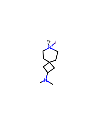 CC[N+]1(I)CCC2(CC1)CC(N(C)C)C2